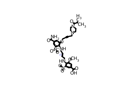 COc1cc(C(=O)O)cc([N+](=O)[O-])c1NC/C=C/CNc1c(OCC#CCN2CCN(C(=O)C(C)C)CC2)cc(C(N)=O)cc1[N+](=O)[O-]